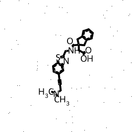 CN(C)CC#Cc1ccc2sc(CNC(=O)C3(CC(=O)O)Cc4ccccc4C3)nc2c1